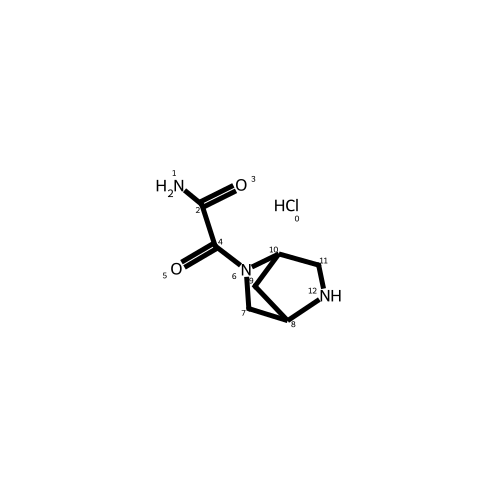 Cl.NC(=O)C(=O)N1CC2CC1CN2